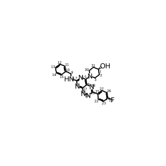 OC1CCN(c2nc(NCc3ccccc3)nc3nnc(-c4ccc(F)cc4)nc23)CC1